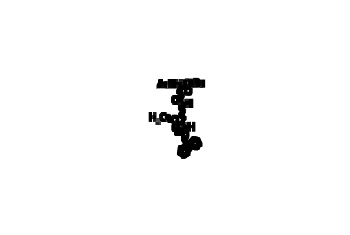 C=CCOC(=O)[C@@H](CCCCNC(=O)CC[C@H](NC(C)=O)C(=O)OC(C)(C)C)NC(=O)OCC1c2ccccc2-c2ccccc21